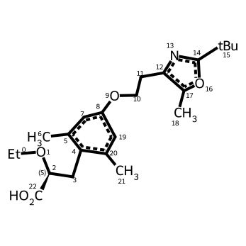 CCO[C@@H](Cc1c(C)cc(OCCc2nc(C(C)(C)C)oc2C)cc1C)C(=O)O